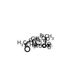 CC(N)(Cn1cc(COc2ccc([N+](=O)[O-])c(COC(=O)C(C)(C)Br)c2)nn1)OCCC(C)(C)SC1CCCCCCC1